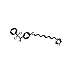 O=S(=O)(Nc1ccc(OCCCCCCCCn2ccnc2)cc1)c1ccccc1